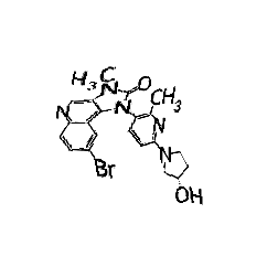 Cc1nc(N2CC[C@H](O)C2)ccc1-n1c(=O)n(C)c2cnc3ccc(Br)cc3c21